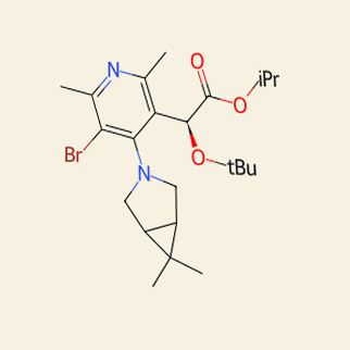 Cc1nc(C)c([C@H](OC(C)(C)C)C(=O)OC(C)C)c(N2CC3C(C2)C3(C)C)c1Br